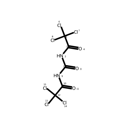 O=C(NC(=O)C(Cl)(Cl)Cl)NC(=O)C(Cl)(Cl)Cl